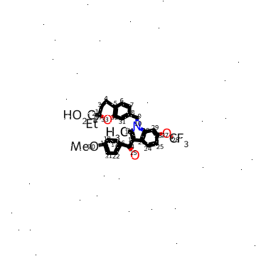 CC[C@]1(C(=O)O)CCc2ccc(Cn3c(C)c(C(=O)c4ccc(OC)cc4)c4ccc(OC(F)(F)F)cc43)cc2O1